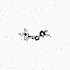 Cc1nc(N2CC[C@@H](CNC(=O)OC(C)(C)C)C2)ccc1Br